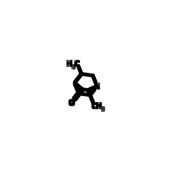 CC1CN2CCC1C(=O)C2C